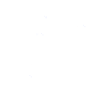 Nc1nccc(-c2ccno2)c1Cc1ccc(COc2ccccn2)cc1